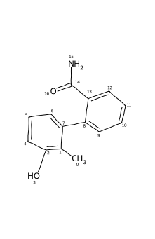 Cc1c(O)cccc1-c1ccccc1C(N)=O